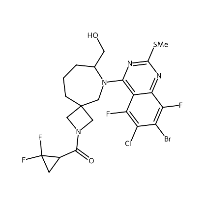 CSc1nc(N2CC3(CCCC2CO)CN(C(=O)C2CC2(F)F)C3)c2c(F)c(Cl)c(Br)c(F)c2n1